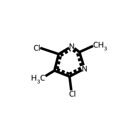 Cc1nc(Cl)c(C)c(Cl)n1